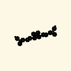 Cc1ccc(-n2c3ccccc3c3cc(-c4ccc5cc(-c6ccc7c(c6)C6(c8ccccc8-c8ccccc86)c6cc(-c8ccc9cc(-c%10ccc%11c(c%10)c%10ccccc%10n%11-c%10ccc(C)cc%10)ccc9c8)ccc6-7)ccc5c4)ccc32)cc1